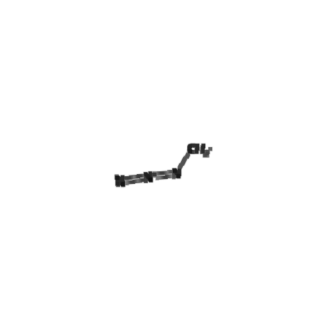 [CH2]N=[N+]=[N-]